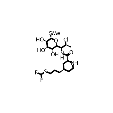 CS[C@H]1O[C@H]([C@H](NC(=O)[C@@H]2C[C@H](CCCSC(F)F)CCN2)[C@H](C)Cl)[C@H](O)[C@H](O)[C@H]1O